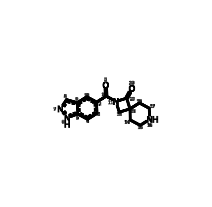 O=C(c1ccc2[nH]ncc2c1)N1CC2(CCNCC2)C1=O